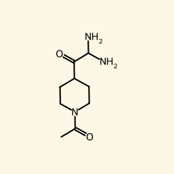 CC(=O)N1CCC(C(=O)C(N)N)CC1